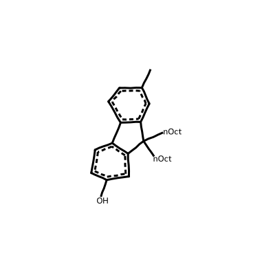 CCCCCCCCC1(CCCCCCCC)c2cc(C)ccc2-c2ccc(O)cc21